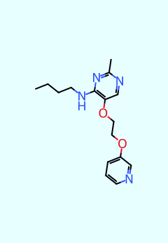 CCCCNc1nc(C)ncc1OCCOc1cccnc1